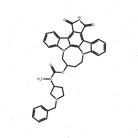 CN(C(=O)OC1CCn2c3ccccc3c3c4c(c5c6ccccc6n(c5c32)C1)C(=O)NC4=O)C1CCN(Cc2ccccc2)C1